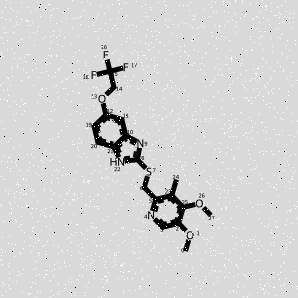 COc1cnc(CSc2nc3cc(OCC(F)(F)F)ccc3[nH]2)c(C)c1OC